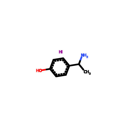 CC(N)c1ccc(O)cc1.I